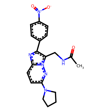 CC(=O)NCc1c(-c2ccc([N+](=O)[O-])cc2)nc2ccc(N3CCCC3)nn12